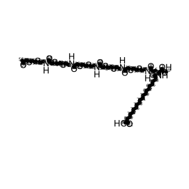 COC(O)[C@H](CCC(=O)NCCOCCOCC(=O)NCCOCCOCC(=O)NCCOCCOCC(=O)NCCOCCOCC(=O)NCCOCCOCC(C)=O)NC(=O)CCCCCCCCCCCCCCCCCCC(=O)O